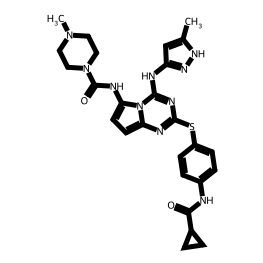 Cc1cc(Nc2nc(Sc3ccc(NC(=O)C4CC4)cc3)nc3ccc(NC(=O)N4CCN(C)CC4)n23)n[nH]1